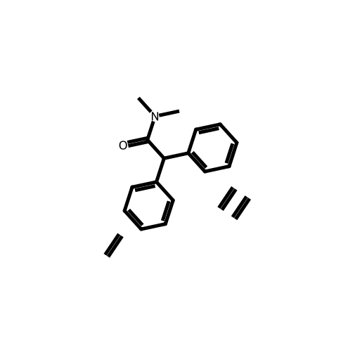 C=C.C=C.C=C.CN(C)C(=O)C(c1ccccc1)c1ccccc1